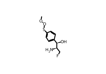 COOSc1ccc([C@@H](O)[C@H](N)CF)cc1